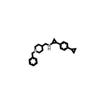 c1ccc(CN2CCC(CNC3CC3c3ccc(C4CC4)cc3)CC2)cc1